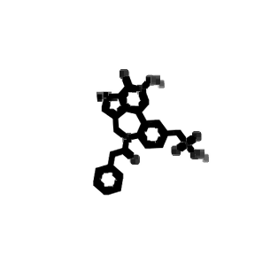 Cn1cc2c3c(c[nH]c3c1=O)CN(C(=O)Cc1ccccc1)c1ccc(CS(C)(=O)=O)cc1-2